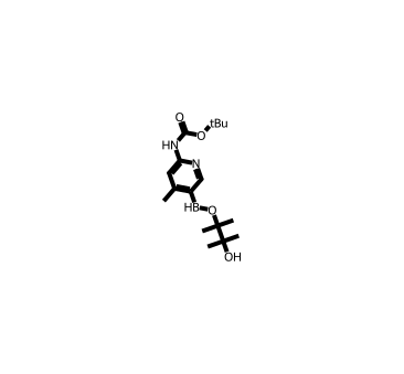 Cc1cc(NC(=O)OC(C)(C)C)ncc1BOC(C)(C)C(C)(C)O